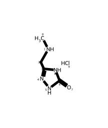 CNCc1n[nH]c(=O)[nH]1.Cl